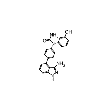 NC(=O)N(c1ccc(-c2cccc3[nH]nc(N)c23)cc1)c1cccc(O)c1